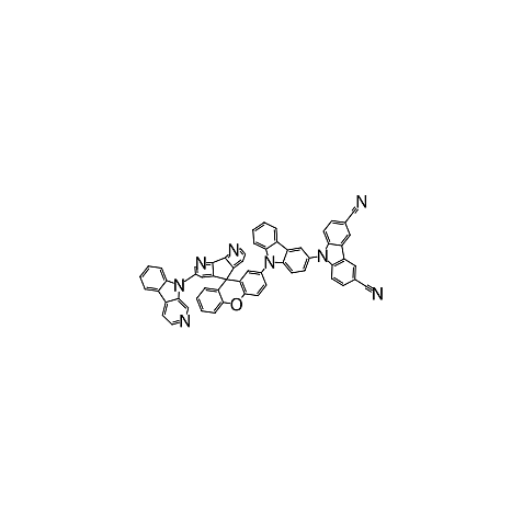 N#Cc1ccc2c(c1)c1cc(C#N)ccc1n2-c1ccc2c(c1)c1ccccc1n2-c1ccc2c(c1)C1(c3ccccc3O2)c2cccnc2-c2ncc(-n3c4ccccc4c4ccncc43)cc21